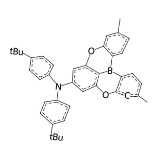 Cc1ccc2c(c1)Oc1cc(N(c3ccc(C(C)(C)C)cc3)c3ccc(C(C)(C)C)cc3)cc3c1B2c1ccc(C)cc1O3